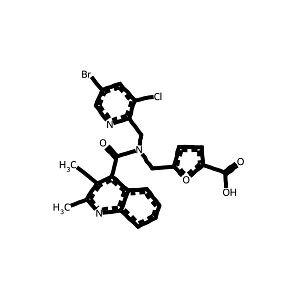 Cc1nc2ccccc2c(C(=O)N(Cc2ccc(C(=O)O)o2)Cc2ncc(Br)cc2Cl)c1C